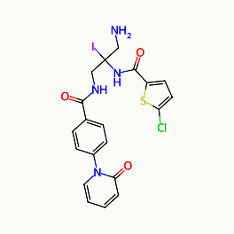 NCC(I)(CNC(=O)c1ccc(-n2ccccc2=O)cc1)NC(=O)c1ccc(Cl)s1